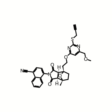 C#CCSc1nc(COC)cc(OCC[C@@]23CC[C@@](C)(O2)[C@H]2C(=O)N(c4ccc(C#N)c5ccccc45)C(=O)[C@H]23)n1